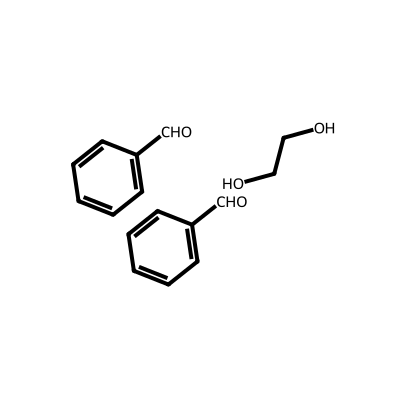 O=Cc1ccccc1.O=Cc1ccccc1.OCCO